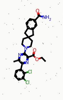 CCOC(=O)c1nc(-c2cccc(Cl)c2Cl)c(C)nc1N1CCC2(CC1)Cc1ccc(C(N)=O)cc1C2